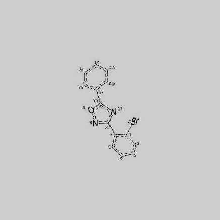 Brc1ccccc1-c1noc(-c2ccccc2)n1